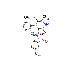 CC1=C(CC=O)C(c2ccccc2Cl)c2c(sc(C(=O)c3cccc([N+](=O)[O-])c3)c2N)N1